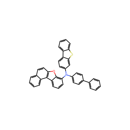 c1ccc(-c2ccc(N(c3ccc4c(c3)sc3ccccc34)c3cccc4c3oc3ccc5ccccc5c34)cc2)cc1